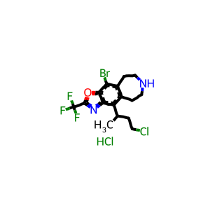 CC(CCCl)c1c2c(c(Br)c3oc(C(F)(F)F)nc13)CCNCC2.Cl